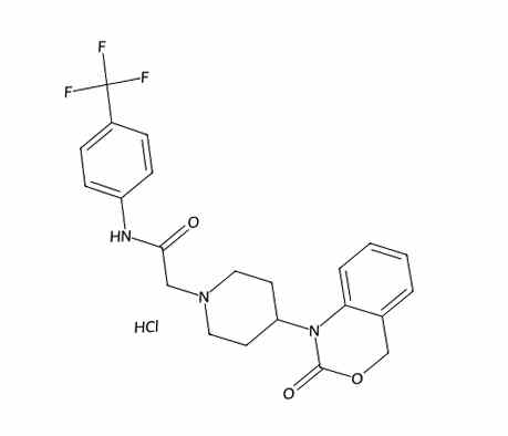 Cl.O=C(CN1CCC(N2C(=O)OCc3ccccc32)CC1)Nc1ccc(C(F)(F)F)cc1